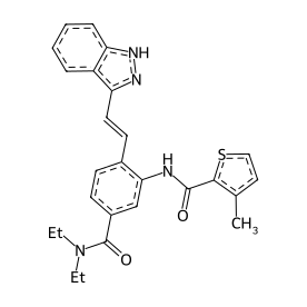 CCN(CC)C(=O)c1ccc(C=Cc2n[nH]c3ccccc23)c(NC(=O)c2sccc2C)c1